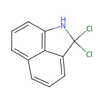 ClC1(Cl)Nc2cccc3cccc1c23